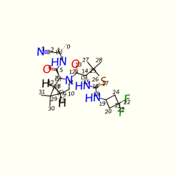 C[C@@H](C#N)NC(=O)[C@@H]1[C@@H]2[C@H](CN1C(=O)[C@@H](NC(=S)NC1CC(F)(F)C1)C(C)(C)C)C2(C)C